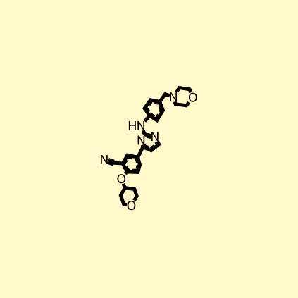 N#Cc1cc(-c2ccnc(Nc3ccc(CN4CCOCC4)cc3)n2)ccc1OC1CCOCC1